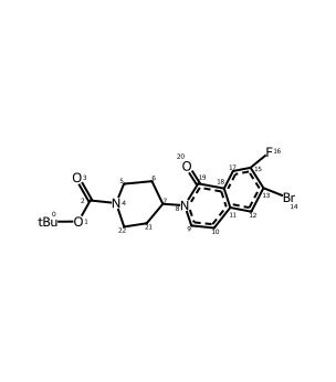 CC(C)(C)OC(=O)N1CCC(n2ccc3cc(Br)c(F)cc3c2=O)CC1